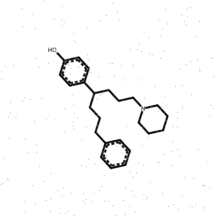 Oc1ccc(C(CCCc2ccccc2)CCCN2CCCCC2)cc1